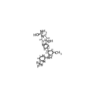 Cc1cc(Nc2nccc(C(F)(F)F)n2)cc(-c2cnc(C3(O)CCN(C(N)O)CC3)s2)c1